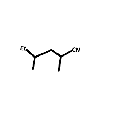 CCC(C)CC(C)C#N